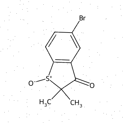 CC1(C)C(=O)c2cc(Br)ccc2[S+]1[O-]